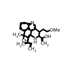 C=CC(=C)C1=C2NC(C(=C)O)C(CCOC)c3cnc4cccc(c4c32)C1(C)C